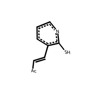 CC(=O)C=Cc1cccnc1S